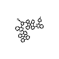 Cc1ccc(-c2nc(-c3cccc4c3-c3ccccc3C43c4ccccc4-c4c(-c5cc(C#N)cc(-c6nc(-c7cccc8c7-c7ccccc7C87c8ccccc8-c8ccccc87)nc7ccccc67)c5)cccc43)nc3ccccc23)cc1